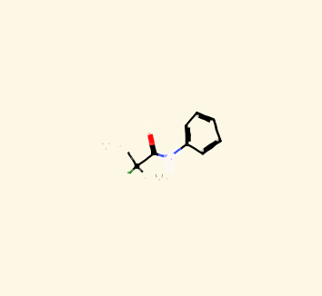 COC(Cl)(OC)C(=O)Nc1ccccc1